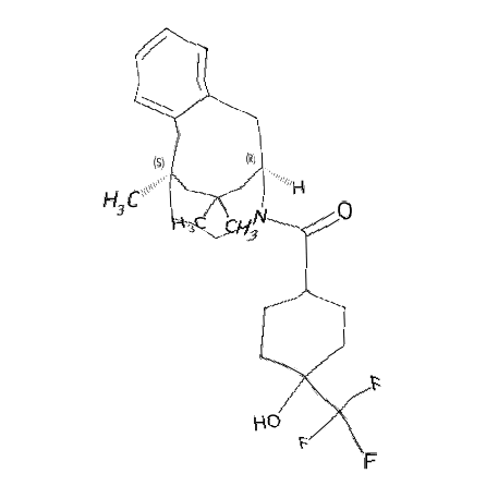 CC1(C)[C@H]2Cc3ccccc3[C@]1(C)CCN2C(=O)C1CCC(O)(C(F)(F)F)CC1